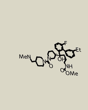 CCc1cccc(-c2c(F)cccc2C(O)(CCCNC(=O)OC)[C@@H]2CCCN(C(=O)N3CCC(CNC)CC3)C2)c1